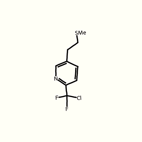 CSCCc1ccc(C(F)(F)Cl)nc1